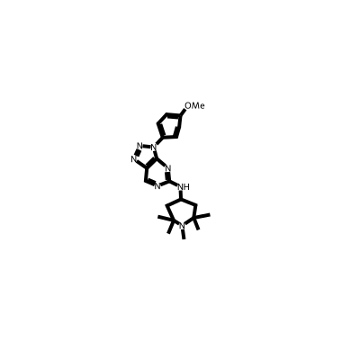 COc1ccc(-n2nnc3cnc(NC4CC(C)(C)N(C)C(C)(C)C4)nc32)cc1